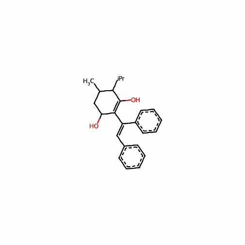 CC(C)C1C(O)=C(C(=Cc2ccccc2)c2ccccc2)C(O)CC1C